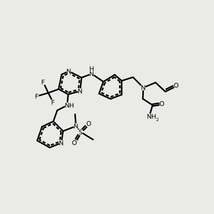 CN(c1ncccc1CNc1nc(Nc2cccc(CN(CC=O)CC(N)=O)c2)ncc1C(F)(F)F)S(C)(=O)=O